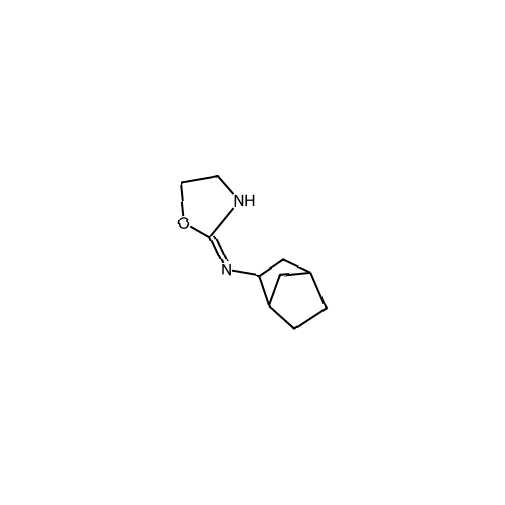 C1COC(=NC2CC3CCC2C3)N1